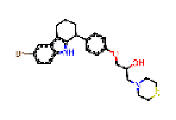 OC(COc1ccc(C2CCCc3c2[nH]c2ccc(Br)cc32)cc1)CN1CCSCC1